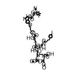 CC1(F)C[C@H](C#N)N(C(=O)CNC(=O)c2ccnc3ccc(OCCCC4CCN(C(=O)[C@H](O)CSCCNC(=O)C(CSCCNC(=O)CCCc5ccc(I)cc5)NC(=O)CN5CCN(COC=O)CCN(COC=O)CCN(CC(=O)O)CC5)CC4)cc23)C1